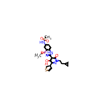 COP1N=C(c2c(O)c(C3C=CSC3)nn(CCC3CC3)c2=O)Nc2ccc(NS(C)(=O)=O)cc21